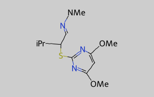 CNN=CC(Sc1nc(OC)cc(OC)n1)C(C)C